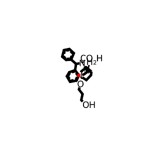 O=C(O)N(C(c1ccccc1)c1cccc(OCCCO)c1)[C@H]1CN2CCC1CC2